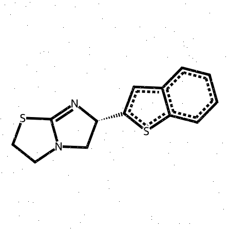 c1ccc2sc([C@@H]3CN4CCSC4=N3)cc2c1